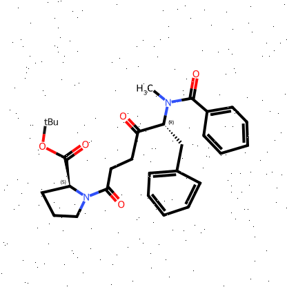 CN(C(=O)c1ccccc1)[C@H](Cc1ccccc1)C(=O)CCC(=O)N1CCC[C@H]1C(=O)OC(C)(C)C